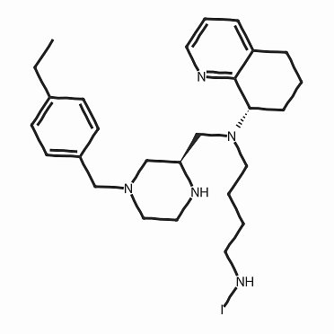 CCc1ccc(CN2CCN[C@H](CN(CCCCNI)[C@H]3CCCc4cccnc43)C2)cc1